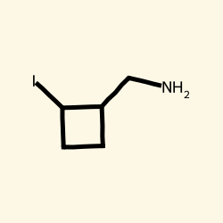 NCC1CCC1I